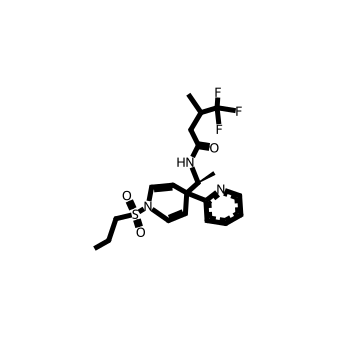 CCCS(=O)(=O)N1C=CC(c2ccccn2)([C@H](C)NC(=O)CC(C)C(F)(F)F)C=C1